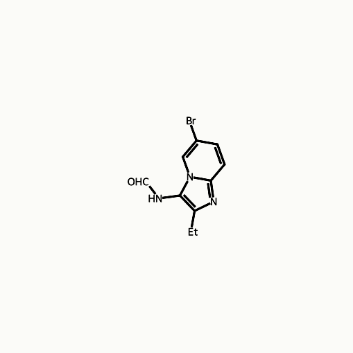 CCc1nc2ccc(Br)cn2c1NC=O